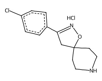 Cl.Clc1ccc(C2=NOC3(CCNCC3)C2)cc1